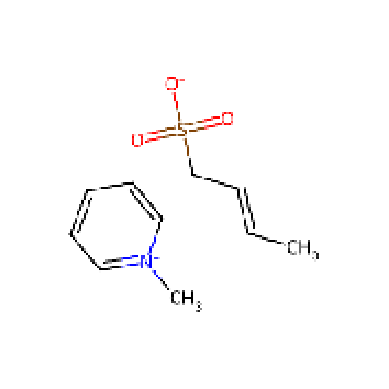 CC=CCS(=O)(=O)[O-].C[n+]1ccccc1